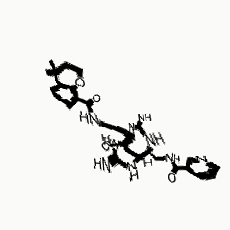 CC1(C)CCOc2c(C(=O)NC3CN4C(=N)N[C@@H](CNC(=O)c5cccnc5)[C@@H]5NC(=N)NC54[C@@H]3O)cccc21